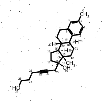 Cc1ccc2c(c1)CC[C@@H]1[C@@H]2CC[C@@]2(C)[C@H]1CC[C@@]2(O)CC#CCCCO